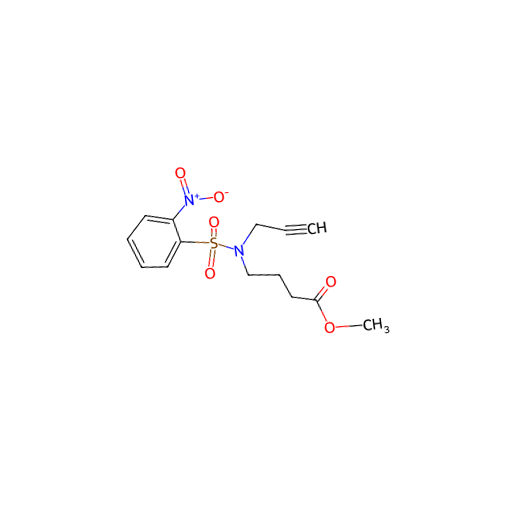 C#CCN(CCCC(=O)OC)S(=O)(=O)c1ccccc1[N+](=O)[O-]